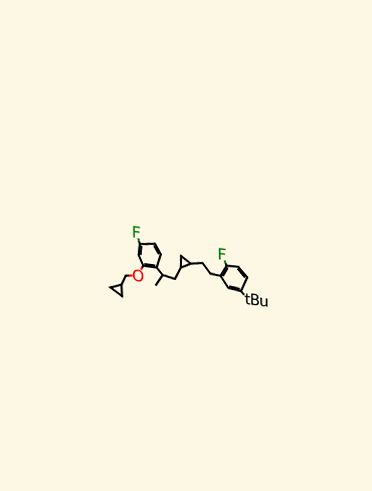 CC(CC1CC1CCc1cc(C(C)(C)C)ccc1F)c1ccc(F)cc1OCC1CC1